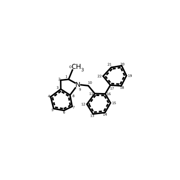 CC1Cc2ccccc2N1Cc1ccccc1-c1ccccc1